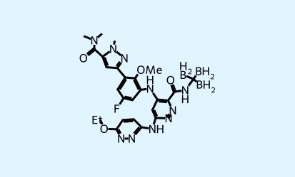 BC(B)(B)NC(=O)c1nnc(Nc2ccc(OCC)nn2)cc1Nc1cc(F)cc(-c2cc(C(=O)N(C)C)n(C)n2)c1OC